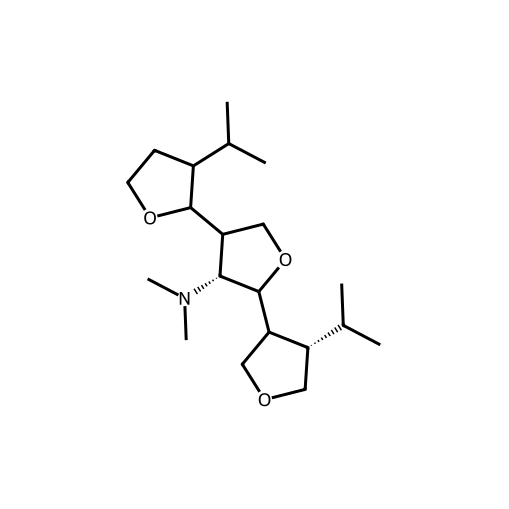 CC(C)C1CCOC1C1COC(C2COC[C@H]2C(C)C)[C@@H]1N(C)C